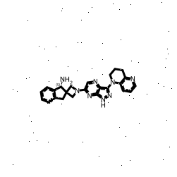 N[C@H]1c2ccccc2CC12CN(c1cnc3c(N4CCCc5ncccc54)n[nH]c3n1)C2